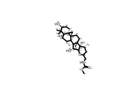 COC(=O)NCC1C[C@@H](C)[C@H]2C(O1)[C@H](O)[C@@]1(C)C3CC[C@H]4C(C)(C)[C@@H](O)CC[C@@]45C[C@@]35CC[C@]21C